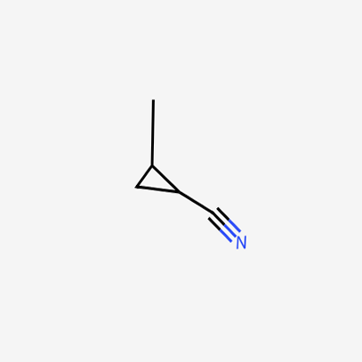 CC1CC1C#N